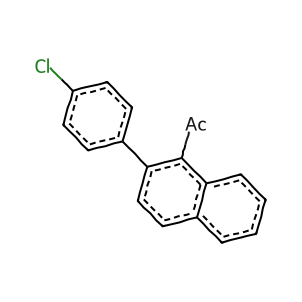 CC(=O)c1c(-c2ccc(Cl)cc2)ccc2ccccc12